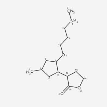 C[SiH2]CCCOC1CC(C)CC1C1CCOC1=O